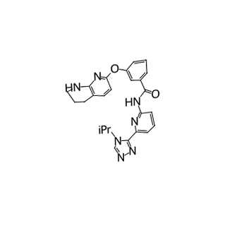 CC(C)n1cnnc1-c1cccc(NC(=O)c2cccc(Oc3ccc4c(n3)NCCC4)c2)n1